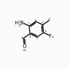 Bc1cc(C)c(F)cc1C=O